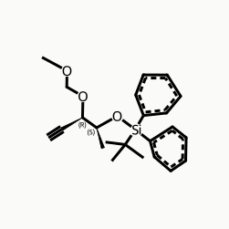 C#C[C@@H](OCOC)[C@H](C)O[Si](c1ccccc1)(c1ccccc1)C(C)(C)C